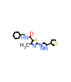 Cc1nc(-n2cc(-c3ccsc3)nn2)sc1C(=O)NCc1ccccc1